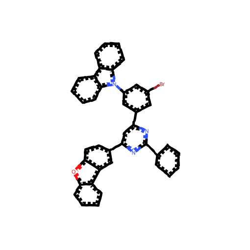 Brc1cc(-c2cc(-c3ccc4oc5ccccc5c4c3)nc(-c3ccccc3)n2)cc(-n2c3ccccc3c3ccccc32)c1